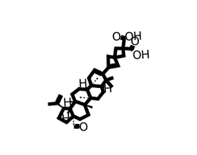 C=C(C)[C@@H]1CC[C@]2(C=O)CC[C@]3(C)[C@H](CC[C@@H]4[C@@]5(C)CC=C(C6=CC7(C6)CC(C(=O)O)(C(=O)O)C7)C(C)(C)[C@@H]5CC[C@]43C)[C@@H]12